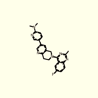 Cc1nc(N2CCc3ncc(-c4ccc(N(C)C)nc4)cc3C2)c2cc(F)ccc2n1